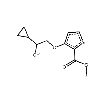 COC(=O)c1sccc1OCC(O)C1CC1